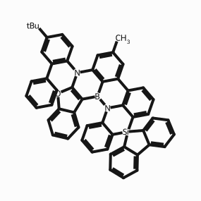 Cc1cc2c3c(c1)N(c1ccc(C(C)(C)C)cc1-c1ccccc1)c1oc4ccccc4c1B3N1c3ccccc3[Si]3(c4ccccc4-c4ccccc43)c3cccc-2c31